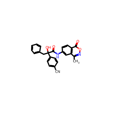 Cc1noc(=O)c2ccc(NC(=O)C(O)(Cc3ccccc3)c3ccc(C#N)cc3)cc12